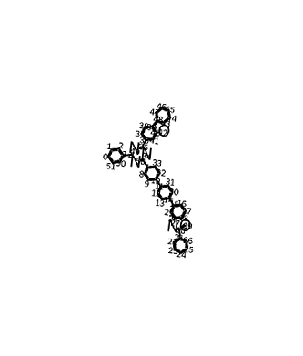 c1ccc(-c2nc(-c3ccc(-c4ccc(-c5ccc6oc(-c7ccccc7)nc6c5)cc4)cc3)nc(-c3ccc4c(c3)oc3ccccc34)n2)cc1